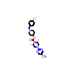 C[C@@H]1CN(c2ncc(C#N)cn2)C[C@H](C)N1C(=O)OC1CCN(Cc2ccc(Cl)cc2)CC1